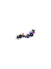 CC(C)C(=O)Nc1cccc(C2CCN(CCCC(=O)c3ccc(C(C)(C)C)cc3)CC2)c1